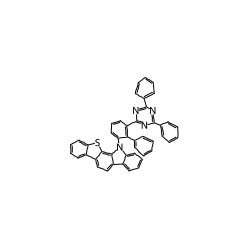 c1ccc(-c2nc(-c3ccccc3)nc(-c3cccc(-n4c5ccccc5c5ccc6c7ccccc7sc6c54)c3-c3ccccc3)n2)cc1